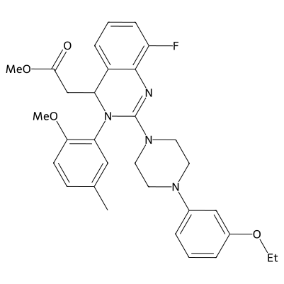 CCOc1cccc(N2CCN(C3=Nc4c(F)cccc4C(CC(=O)OC)N3c3cc(C)ccc3OC)CC2)c1